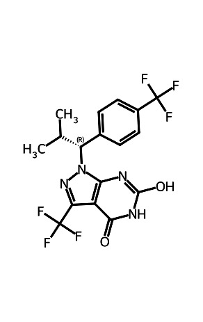 CC(C)[C@H](c1ccc(C(F)(F)F)cc1)n1nc(C(F)(F)F)c2c(=O)[nH]c(O)nc21